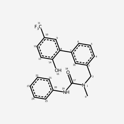 CN(Cc1cccc(-c2cc(C(F)(F)F)ccc2O)c1)C(=O)Nc1ccccc1